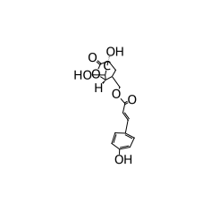 O=C(/C=C/c1ccc(O)cc1)OCC1C[C@@]2(O)CC(O)[C@H]1OC2=O